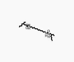 CCCCC(CC)CNC(=O)NCCCCCCCCCCCCNC(=O)NCC(CC)CCCC